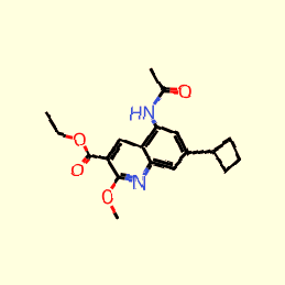 CCOC(=O)c1cc2c(NC(C)=O)cc(C3CCC3)cc2nc1OC